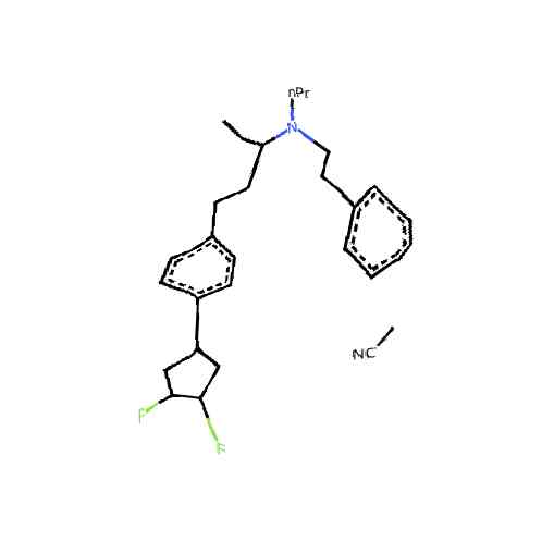 CC#N.CCCN(CCc1ccccc1)C(C)CCc1ccc(C2CC(F)C(F)C2)cc1